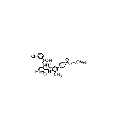 COCCOC(=O)N1CCN(c2cc(C)c3nc(-c4c(NC[C@@H](O)c5cccc(Cl)c5)cc[nH]c4=O)[nH]c3c2)CC1